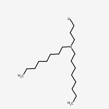 [Li][CH2]CCN(CCCCCCCC)CCCCCCCC